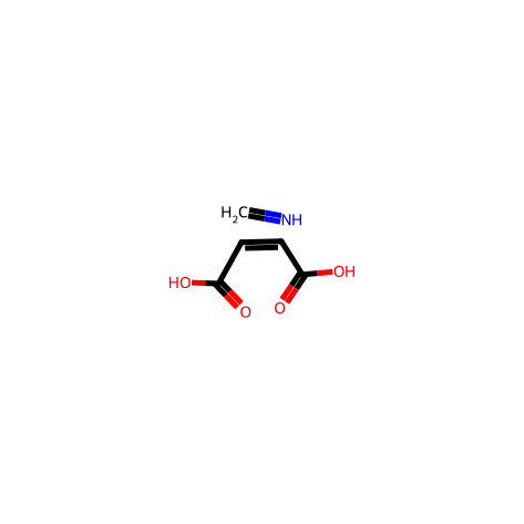 C=N.O=C(O)/C=C\C(=O)O